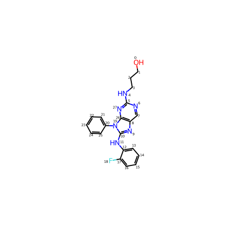 OCCCNc1ncc2nc(Nc3ccccc3F)n(-c3ccccc3)c2n1